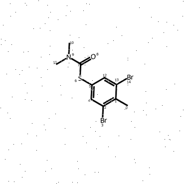 Cc1c(Br)cc(SC(=O)N(C)C)cc1Br